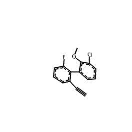 C#Cc1cccc(F)c1-c1cccc(Cl)c1OC